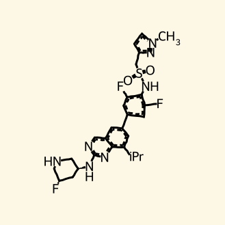 CC(C)c1cc(-c2cc(F)c(NS(=O)(=O)Cc3ccn(C)n3)c(F)c2)cc2cnc(N[C@@H]3CNC[C@@H](F)C3)nc12